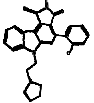 O=C1NC(=O)c2c1c(-c1ccccc1Cl)cc1c2c2ccccc2n1CCN1CCCC1